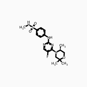 CNS(=O)(=O)c1ccc(Nc2ncc(F)c(N3CC(C)(C)OC[C@@H]3C)n2)cc1